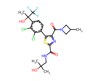 CC1CN(C(=O)c2nc(C(=O)NCC(C)(C)O)sc2-c2ccc(C(C)(O)C(F)(F)F)c(Cl)c2Cl)C1